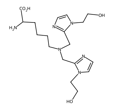 NC(CCCCN(Cc1nccn1CCO)Cc1nccn1CCO)C(=O)O